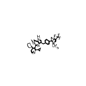 Cn1cc(C(F)(F)F)nc1-c1ccc(Cc2c[nH]c3cnc(-c4c(Cl)ccnc4C4CC4)nc23)cc1